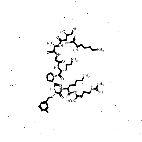 C[C@H](NC(=O)[C@@H](NC(=O)[C@@H](N)CCCCN)[C@@H](O)CN)C(=O)NCC(=O)N[C@H](CCCN)C(=O)N1CCC[C@H]1C(=O)N[C@@H](CCc1cccc(Cl)c1)C(=O)N[C@@H](CCCCN)C(=O)N/C(=C\CCNC(=N)N)C(=O)O